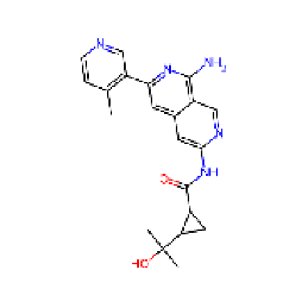 Cc1ccncc1-c1cc2cc(NC(=O)C3CC3C(C)(C)O)ncc2c(N)n1